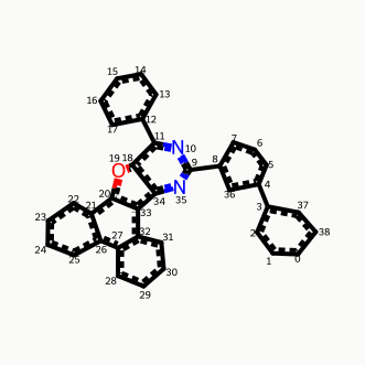 c1ccc(-c2cccc(-c3nc(-c4ccccc4)c4oc5c6ccccc6c6ccccc6c5c4n3)c2)cc1